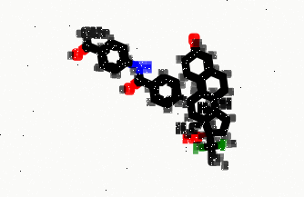 COC(=O)c1ccc(NC(=O)c2ccc([C@H]3C[C@@]4(C)[C@@H](CC[C@@]4(O)C(F)(F)C(F)(F)F)[C@@H]4CCC5=CC(=O)CCC5=C43)cc2)cc1